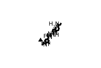 CCC(N)N1CCc2nc(Nc3ncc(F)c(-c4cc(F)c5nc(C)n(C6CC6)c5c4)n3)ccc2C1